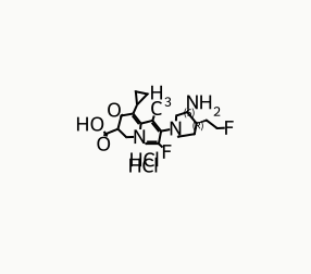 CC1=C(N2CC[C@H](CCF)[C@H](N)C2)C(F)=CN2CC(C(=O)O)C(=O)C(C3CC3)=C12.Cl.Cl